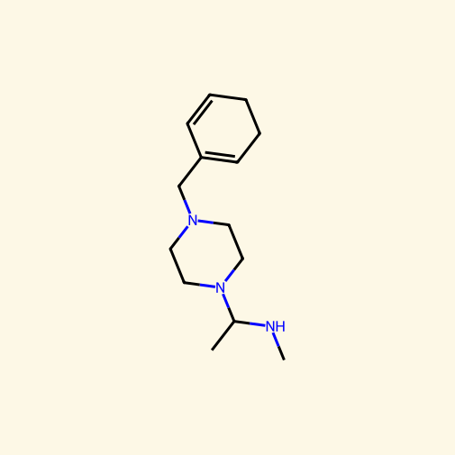 CNC(C)N1CCN(CC2=CCCC=C2)CC1